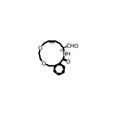 O=C[C@@H]1C/C=C\COCCOCc2ccccc2C(=O)N1